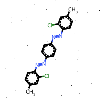 Cc1ccc(N=Nc2ccc(N=Nc3ccc(C)cc3Cl)cc2)c(Cl)c1